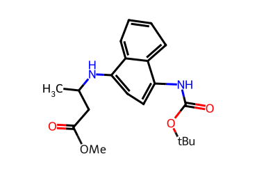 COC(=O)CC(C)Nc1ccc(NC(=O)OC(C)(C)C)c2ccccc12